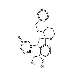 COC(CC(OC1(c2ccccc2)OCCCC1OCc1ccccc1)c1cc(=O)cc[nH]1)OC